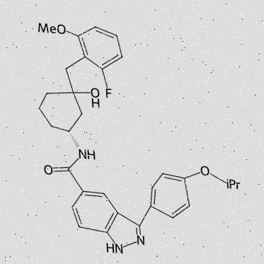 COc1cccc(F)c1CC1(O)CCC[C@@H](NC(=O)c2ccc3[nH]nc(-c4ccc(OC(C)C)cc4)c3c2)C1